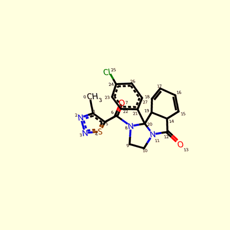 Cc1nnsc1C(=O)N1CCN2C(=O)C3C=CC=CC3C12c1ccc(Cl)cc1